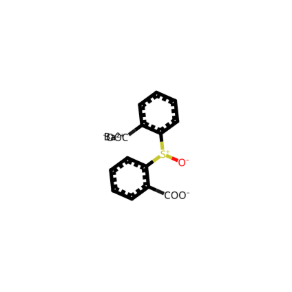 O=C([O-])c1ccccc1[S+]([O-])c1ccccc1C(=O)[O-].[Ba+2]